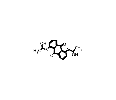 CC(O)Sc1cccc2c1C(=O)c1cccc(SC(C)O)c1C2=O